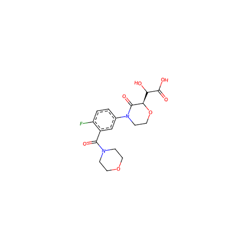 O=C(O)C(O)[C@H]1OCCN(c2ccc(F)c(C(=O)N3CCOCC3)c2)C1=O